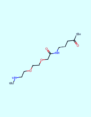 CC(C)(C)NCCOCCOCC(=O)NCCCC(=O)C(C)(C)C